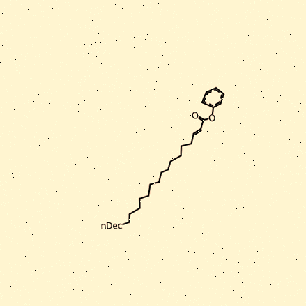 CCCCCCCCCCCCCCCCCCCCCCC/C=C/C(=O)Oc1ccccc1